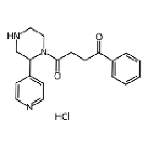 Cl.O=C(CCC(=O)N1CCNCC1c1ccncc1)c1ccccc1